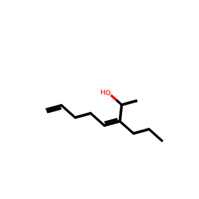 C=CCCC=C(CCC)C(C)O